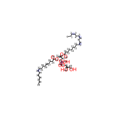 CC/C=C\C/C=C\C/C=C\CCCCCCCC(=O)O[C@H](COC(=O)CCCCCCC/C=C\CCCCCC)COP(=O)(O)OC[C@@H](O)CO